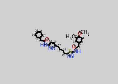 COc1ccc(CC(=O)Nc2nnc(CCCCc3ccc(NC(=O)Cc4ccccc4)nn3)s2)cc1C